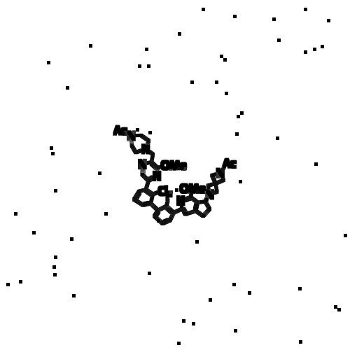 COc1nc(-c2cccc(-c3cccc(-c4cc5c(c(OC)n4)[C@@H](N4CC6(CN(C(C)=O)C6)C4)CC5)c3F)c2Cl)cnc1CN1CCN(C(C)=O)CC1